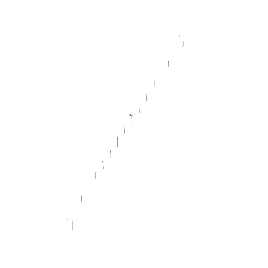 CCCCCCCCCCCCCCCCCCCC(O)CCCCCCCCCCCCCC